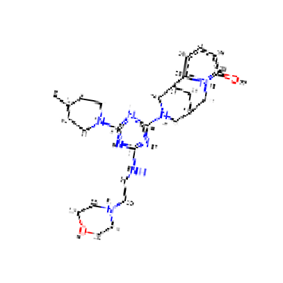 CC1CCN(c2nc(NCCN3CCOCC3)nc(N3CC4CC(C3)c3cccc(=O)n3C4)n2)CC1